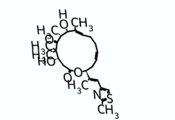 C/C(=C\c1csc(C)n1)[C@@H]1C/C=C\CC/C=C(\C)[C@H](O)[C@@H](C)C(=O)C(C)(C)[C@@H](O)CC(=O)O1